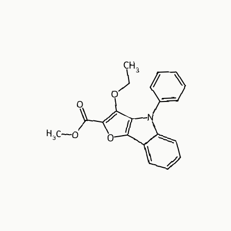 CCOc1c(C(=O)OC)oc2c3ccccc3n(-c3ccccc3)c12